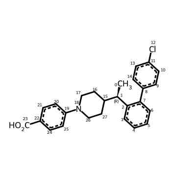 C[C@@H](c1ccccc1-c1ccc(Cl)cc1)C1CCN(c2ccc(C(=O)O)cc2)CC1